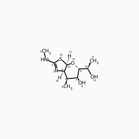 CNC1=N[C@@H]2[C@H](C)[C@H](O)[C@@H]([C@@H](C)O)O[C@@H]2S1